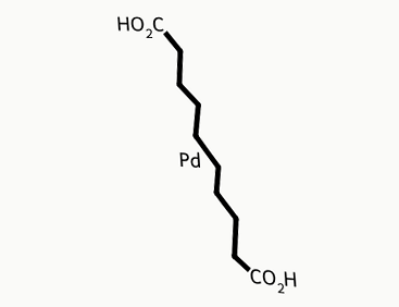 O=C(O)CCCCCCCCC(=O)O.[Pd]